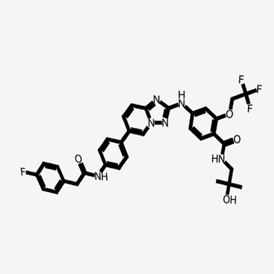 CC(C)(O)CNC(=O)c1ccc(Nc2nc3ccc(-c4ccc(NC(=O)Cc5ccc(F)cc5)cc4)cn3n2)cc1OCC(F)(F)F